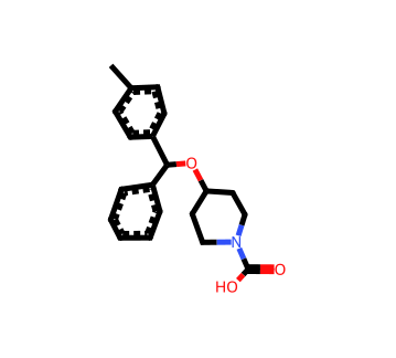 Cc1ccc(C(OC2CCN(C(=O)O)CC2)c2ccccc2)cc1